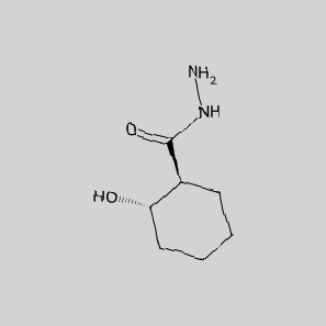 NNC(=O)[C@H]1CCCC[C@@H]1O